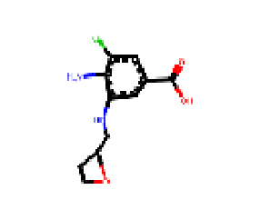 Nc1c(Cl)cc(C(=O)O)cc1NCC1CCO1